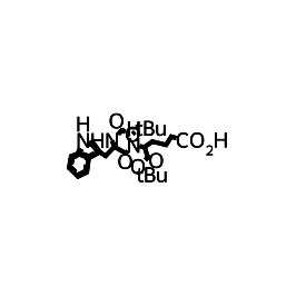 CC(C)(C)OC(=O)NC(Cc1c[nH]c2ccccc12)C(=O)NC(CCCC(=O)O)C(=O)OC(C)(C)C